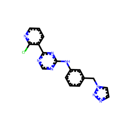 Clc1ncccc1-c1ncnc(Nc2cccc(Cn3ccnn3)c2)n1